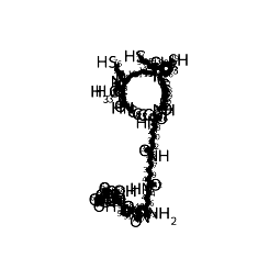 CC1=NN(CCCS)/C2=C/C=C/C=C/C3=[N+](CCCCCC(=O)NC(C(=O)NCCCCCC(=O)NCCCCCC(=O)NC/C=C/c4cn([C@H]5CC[C@@H](COP(=O)(O)OP(=O)(O)OP(=O)(O)O)O5)c(=O)nc4N)CCCCNC(=O)CCC12C)c1ccc(S)cc1C3(C)CCCS